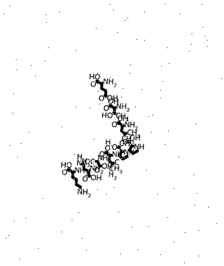 CC(C)CC(N)C(=O)O.CC(C)CC(N)C(=O)O.CC(N)C(=O)O.CC(O)C(N)C(=O)O.NC(=O)CC(N)C(=O)O.NC(CCC(=O)O)C(=O)O.NCCCCC(N)C(=O)O.O=C(O)[C@@H]1CCCN1.O=C(O)[C@@H]1CCCN1